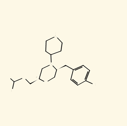 FC(F)OC[C@H]1CN(C2CCNCC2)[C@@H](Cc2ccc(Cl)cc2)CO1